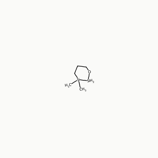 C[Si]1(C)CCCO[SiH2]1